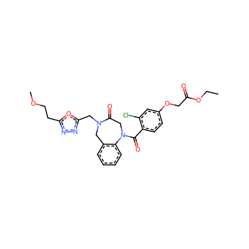 CCOC(=O)COc1ccc(C(=O)N2CC(=O)N(Cc3nnc(CCOC)o3)Cc3ccccc32)c(Cl)c1